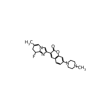 CC1=Cn2cc(-c3cc4ccc(N5CCN(C)CC5)cc4oc3=O)nc2C(F)C1